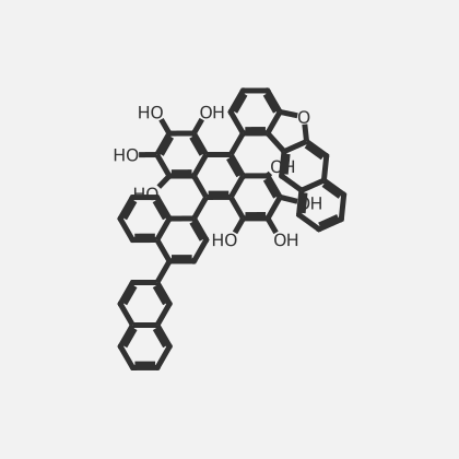 Oc1c(O)c(O)c2c(-c3cccc4oc5cc6ccccc6cc5c34)c3c(O)c(O)c(O)c(O)c3c(-c3ccc(-c4ccc5ccccc5c4)c4ccccc34)c2c1O